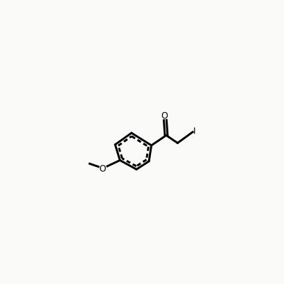 COc1ccc(C(=O)CI)cc1